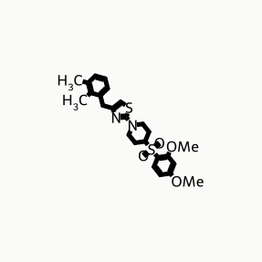 COc1ccc(S(=O)(=O)C2CCN(c3nc(Cc4cccc(C)c4C)cs3)CC2)c(OC)c1